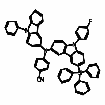 N#Cc1ccc(N(c2ccc3c(c2)c2ccccc2n3-c2ccccc2)c2ccc3c(c2)c2cc([Si](c4ccccc4)(c4ccccc4)c4ccccc4)ccc2n3-c2ccc(F)cc2)cc1